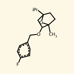 CC(C)C12CCC(C)(O1)C(OCc1ccc(F)cc1)C2